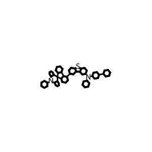 c1ccc(-c2ccc(N(c3ccccc3)c3ccc4sc5ccc(-c6cccc7c6-c6ccccc6C76c7ccccc7N(c7ccccc7)c7ccccc76)cc5c4c3)cc2)cc1